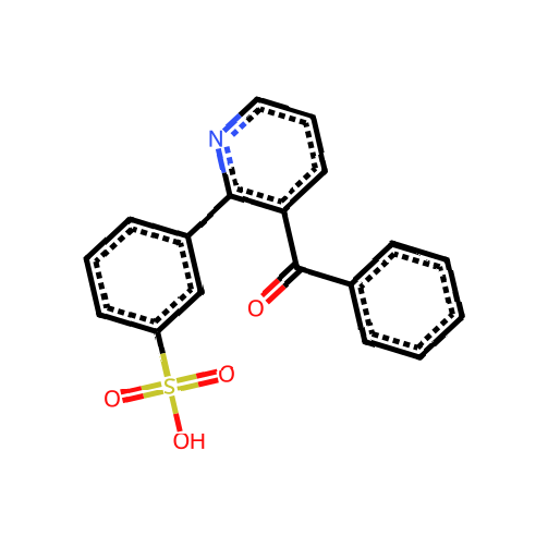 O=C(c1ccccc1)c1cccnc1-c1cccc(S(=O)(=O)O)c1